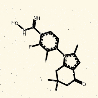 Cc1cc2c(n1-c1ccc(C(=N)NO)c(F)c1F)CC(C)(C)CC2=O